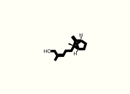 C=C1[C@H]2CC[C@H](C2)[C@]1(C)CC/C=C(/C)CO